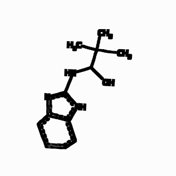 CC(C)(C)C(O)Nc1nc2ccccc2[nH]1